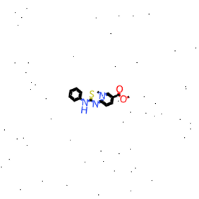 COC(=O)c1ccc(=NC(=S)Nc2ccccc2)n(C)c1